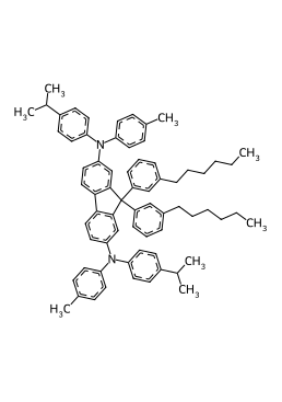 CCCCCCc1cccc(C2(c3cccc(CCCCCC)c3)c3cc(N(c4ccc(C)cc4)c4ccc(C(C)C)cc4)ccc3-c3ccc(N(c4ccc(C)cc4)c4ccc(C(C)C)cc4)cc32)c1